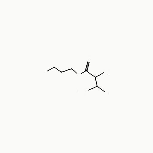 CC(C(=O)O)C(C)C(=O)OCCCC(F)(F)F